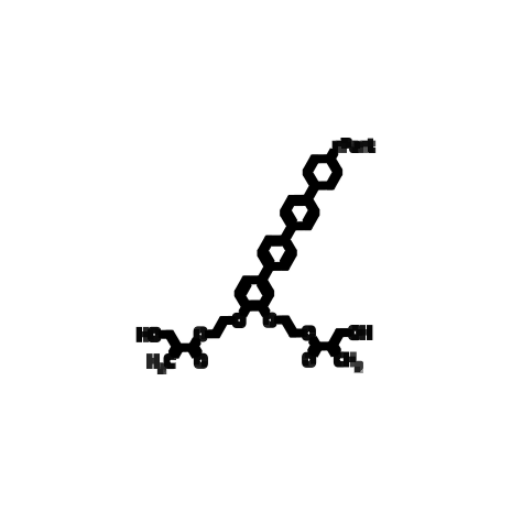 C=C(CO)C(=O)OCCOc1ccc(-c2ccc(-c3ccc(C4CCC(CCCCC)CC4)cc3)cc2)cc1OCCOC(=O)C(=C)CO